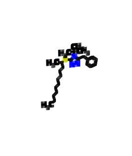 CCCCCCCCCCC(C)Sc1nnc(Cc2ccccc2)n1C(C)(C)C